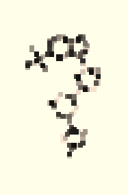 Cc1noc(C2CN(c3ccnc(-c4cnc5ccc(C(F)(F)F)cn45)n3)CC(C)O2)n1